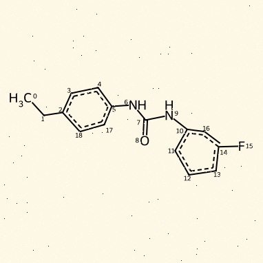 CCc1ccc(NC(=O)Nc2cccc(F)c2)cc1